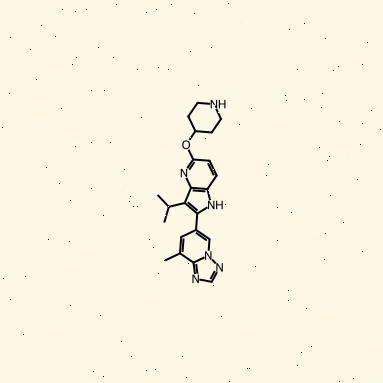 Cc1cc(-c2[nH]c3ccc(OC4CCNCC4)nc3c2C(C)C)cn2ncnc12